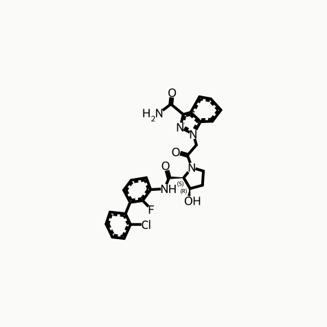 NC(=O)c1nn(CC(=O)N2CC[C@@H](O)[C@H]2C(=O)Nc2cccc(-c3ccccc3Cl)c2F)c2ccccc12